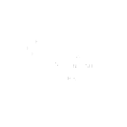 Cc1c(-c2ccccc2)[nH]c(=O)n1C1CCN(Cc2cccc(C(F)(F)F)c2)CC1